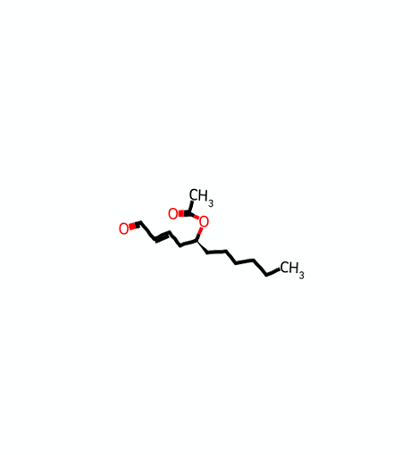 CCCCCC[C@@H](CC=CC=O)OC(C)=O